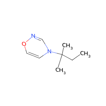 CCC(C)(C)N1C=CON=C1